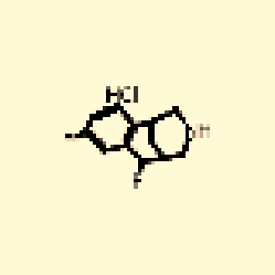 Cl.Fc1ccc2c(c1)C(F)C1CNCC2C1